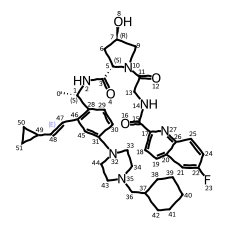 C[C@H](NC(=O)[C@@H]1C[C@@H](O)CN1C(=O)CNC(=O)c1ccc2cc(F)ccc2n1)c1ccc(N2CCN(CC3CCCCC3)CC2)cc1/C=C/C1CC1